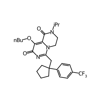 CCCCOc1c2n(c(CC3(c4ccc(C(F)(F)F)cc4)CCCC3)nc1=O)CCN(C(C)C)C2=O